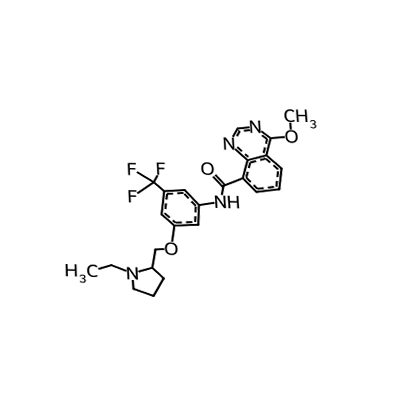 CCN1CCCC1COc1cc(NC(=O)c2cccc3c(OC)ncnc23)cc(C(F)(F)F)c1